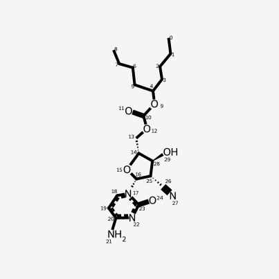 CCCCC(CCCC)OC(=O)OC[C@H]1O[C@@H](n2ccc(N)nc2=O)[C@@H](C#N)[C@@H]1O